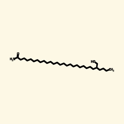 CCCCC(CO)CCCCCCCCCCCCCCCCCCCCCCCC(N)=O